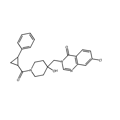 O=C(C1CC1c1ccccc1)N1CCC(O)(Cn2cnc3cc(Cl)ccc3c2=O)CC1